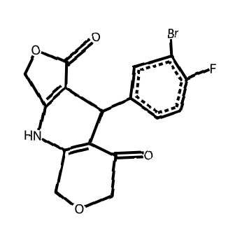 O=C1COCC2=C1C(c1ccc(F)c(Br)c1)C1=C(COC1=O)N2